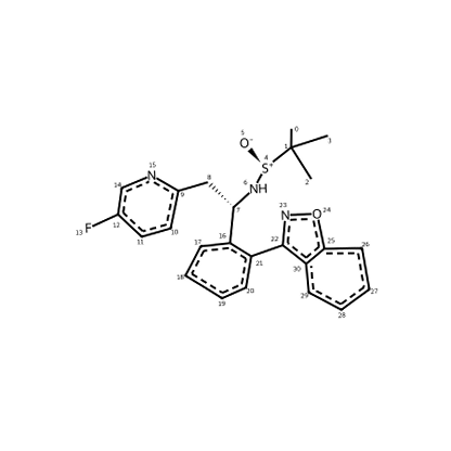 CC(C)(C)[S@+]([O-])N[C@@H](Cc1ccc(F)cn1)c1ccccc1-c1noc2ccccc12